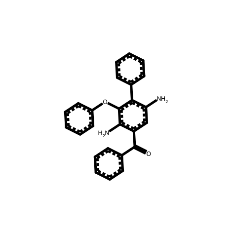 Nc1cc(C(=O)c2ccccc2)c(N)c(Oc2ccccc2)c1-c1ccccc1